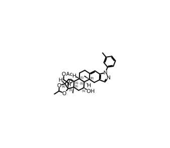 CC(=O)OCC(=O)[C@@]12OC(C)O[C@@H]1C[C@H]1[C@@H]3CCC4=Cc5c(cnn5-c5cccc(C)c5)C[C@]4(C)[C@H]3[C@@H](O)C[C@@]12C